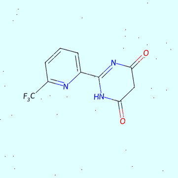 O=C1CC(=O)NC(c2cccc(C(F)(F)F)n2)=N1